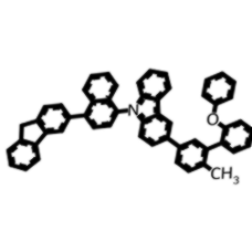 Cc1ccc(-c2ccc3c(c2)c2ccccc2n3-c2ccc(-c3ccc4c(c3)-c3ccccc3C4)c3ccccc23)cc1-c1ccccc1Oc1ccccc1